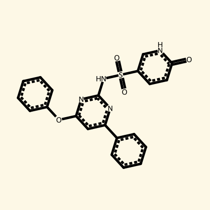 O=c1ccc(S(=O)(=O)Nc2nc(Oc3ccccc3)cc(-c3ccccc3)n2)c[nH]1